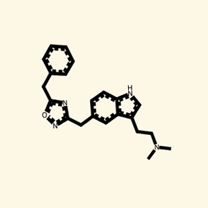 CN(C)CCc1c[nH]c2ccc(Cc3noc(Cc4ccccc4)n3)cc12